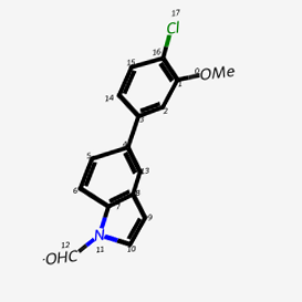 COc1cc(-c2ccc3c(ccn3[C]=O)c2)ccc1Cl